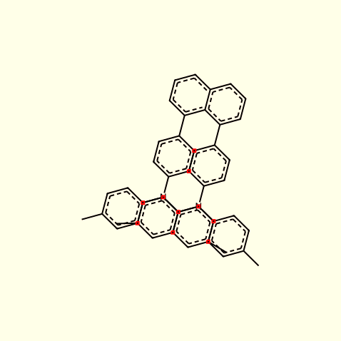 Cc1ccc(N(c2ccc(C)cc2)c2ccc(-c3cccc4cccc(-c5ccc(N(c6ccc(C)cc6)c6ccc(C)cc6)cc5)c34)cc2)cc1